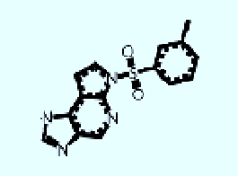 Cc1cccc(S(=O)(=O)n2ccc3c4c(cnc32)N=C[N]4)c1